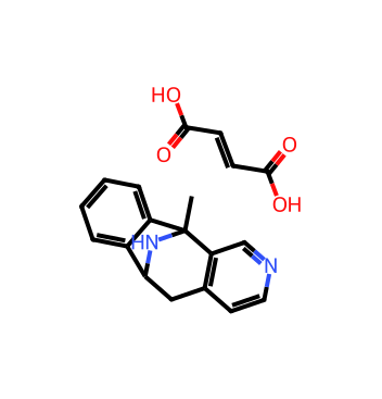 CC12NC(Cc3ccncc31)c1ccccc12.O=C(O)/C=C/C(=O)O